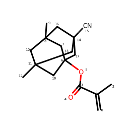 C=C(C)C(=O)OC12CC3(C)CC(C)(CC(C#N)(C3)C1)C2